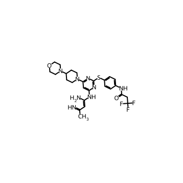 CC(=N)/C=C(\N)Nc1cc(N2CCC(N3CCOCC3)CC2)nc(Sc2ccc(NC(=O)CC(F)(F)F)cc2)n1